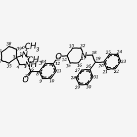 CN(C)C1(CNC(=O)c2cccc(OC3CCN(CC(c4ccccc4)c4ccccc4)CC3)c2)CCCCC1